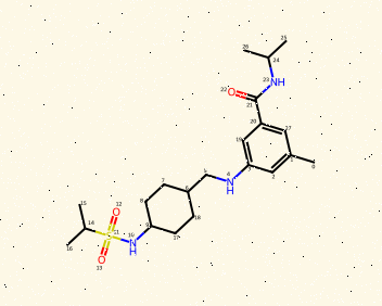 Cc1cc(NCC2CCC(NS(=O)(=O)C(C)C)CC2)cc(C(=O)NC(C)C)c1